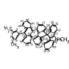 Cc1cc(C)cc(-c2c3ccccc3c(-c3cccc4c3-c3ccccc3C43c4ccccc4-c4c3c3ccccc3n4C)c3ccccc23)c1